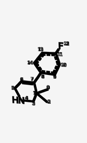 CC1(C)CNCC=C1c1ccc(F)cc1